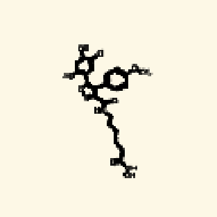 COc1ccc(-c2c(C(=O)NCCCCCC(=O)NO)noc2-c2cc(Cl)c(O)cc2O)cc1